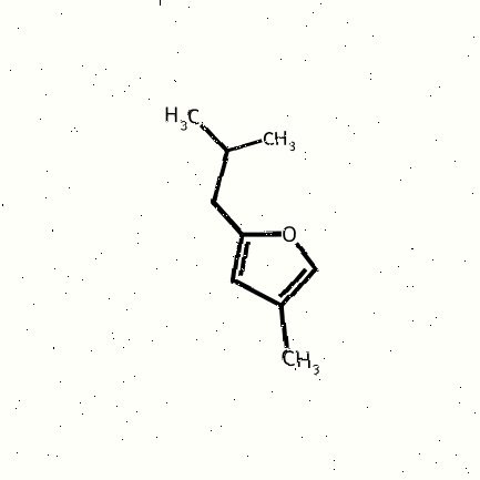 Cc1coc(CC(C)C)c1